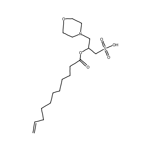 C=CCCCCCCCCC(=O)OC(CN1CCOCC1)CS(=O)(=O)O